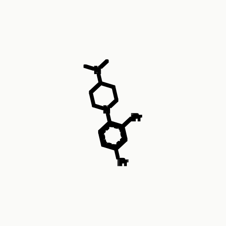 CC(C)c1ccc(N2CCC(N(C)C)CC2)c(C(C)C)c1